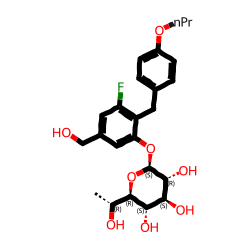 CCCOc1ccc(Cc2c(F)cc(CO)cc2O[C@@H]2O[C@H]([C@@H](C)O)[C@@H](O)[C@H](O)[C@H]2O)cc1